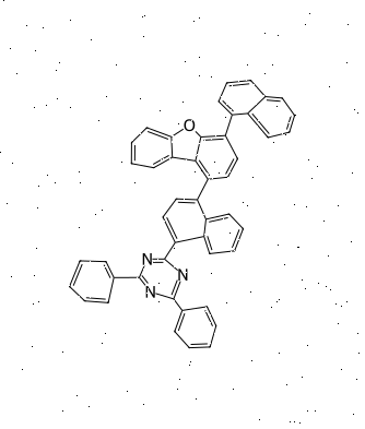 c1ccc(-c2nc(-c3ccccc3)nc(-c3ccc(-c4ccc(-c5cccc6ccccc56)c5oc6ccccc6c45)c4ccccc34)n2)cc1